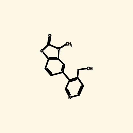 Cn1c(=O)oc2ccc(-c3cnccc3CO)cc21